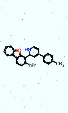 CCCc1ccc2c(oc3ccccc32)c1C1C=C(c2ccc(C)cc2)C=CN1